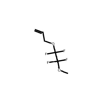 C=CCOC(F)(F)C(F)(F)OC